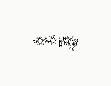 CN1C(=O)[C@H]2CCCN2c2nc(NCc3ccc(OCc4ccc(F)cc4)cc3)ncc21